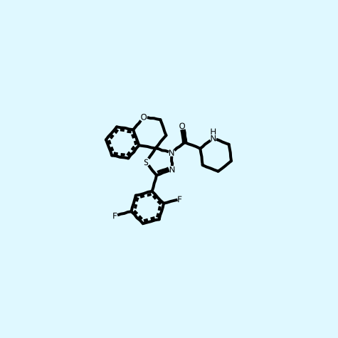 O=C(C1CCCCN1)N1N=C(c2cc(F)ccc2F)SC12CCOc1ccccc12